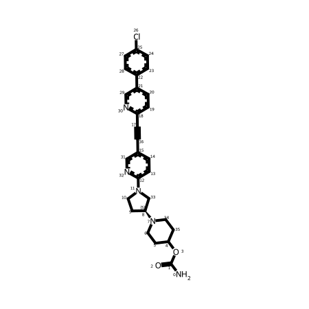 NC(=O)OC1CCN([C@H]2CCN(c3ccc(C#Cc4ccc(-c5ccc(Cl)cc5)cn4)cn3)C2)CC1